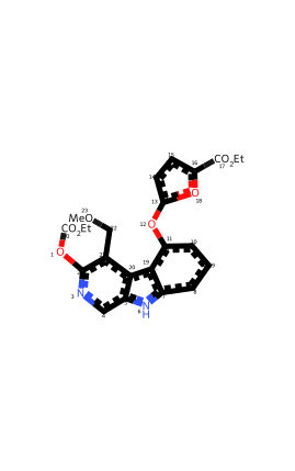 CCOC(=O)Oc1ncc2[nH]c3cccc(Oc4ccc(C(=O)OCC)o4)c3c2c1COC